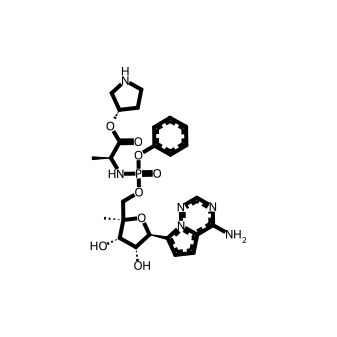 C[C@H](NP(=O)(OC[C@@]1(C)O[C@@H](c2ccc3c(N)ncnn23)[C@H](O)[C@@H]1O)Oc1ccccc1)C(=O)O[C@H]1CCNC1